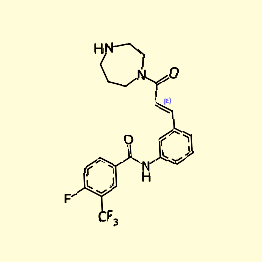 O=C(Nc1cccc(/C=C/C(=O)N2CCCNCC2)c1)c1ccc(F)c(C(F)(F)F)c1